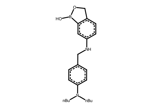 CCCCN(CCCC)c1ccc(CNc2ccc3c(c2)B(O)OC3)cc1